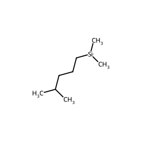 CC(C)CCC[Si](C)C